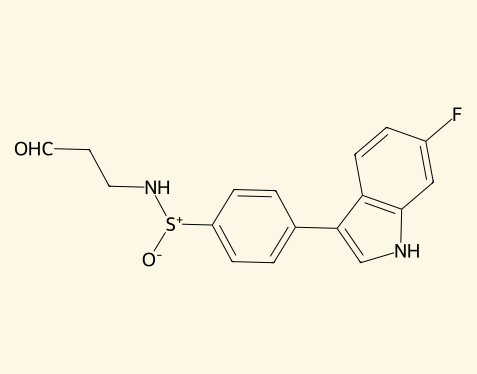 O=CCCN[S+]([O-])c1ccc(-c2c[nH]c3cc(F)ccc23)cc1